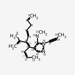 C=CCC=C/C(C(=C)C)=C(/C=C\C)c1cnn(C#CC)c1N=C